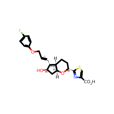 O=C(O)c1csc([C@H]2CC[C@@H]3[C@@H](/C=C/COc4ccc(F)cc4)[C@H](O)C[C@@H]3O2)n1